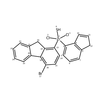 [SH][Zr]([Cl])([Cl])([c]1cccc2c1C=CC2)[c]1ccc(Br)c2c1Cc1ccccc1-2